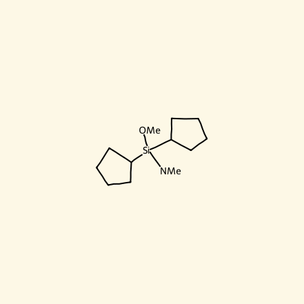 CN[Si](OC)(C1CCCC1)C1CCCC1